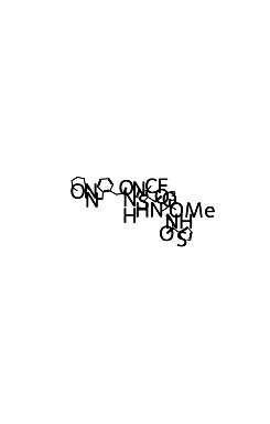 COC(=O)[C@H](CNC(=O)c1cccs1)NC(=O)c1sc(NC(=O)Cc2cccc3c2cnn3C2CCCCO2)nc1C(F)(F)F